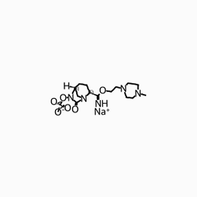 CN1CCN(CCOC(=N)[C@@H]2CC[C@@H]3CN2C(=O)N3OS(=O)(=O)[O-])CC1.[Na+]